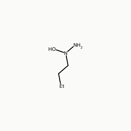 CCCCN(N)O